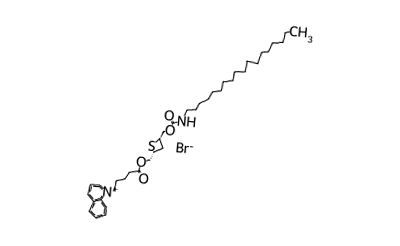 CCCCCCCCCCCCCCCCCCNC(=O)OC[C@H]1C[C@H](COC(=O)CCCC[n+]2cccc3ccccc32)S1.[Br-]